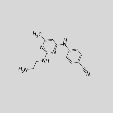 Cc1cc(Nc2ccc(C#N)cc2)nc(NCCN)n1